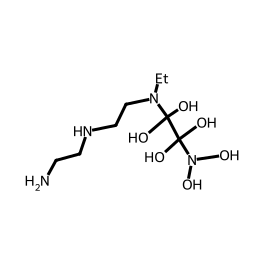 CCN(CCNCCN)C(O)(O)C(O)(O)N(O)O